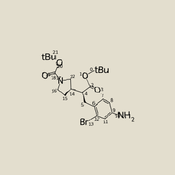 CC(C)(C)OC(=O)[C@@H](Cc1ccc(N)cc1Br)[C@H]1CCN(C(=O)OC(C)(C)C)C1